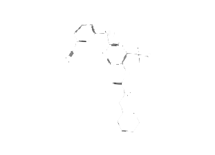 N#Cc1cccc(Nc2ncc(OC(=O)NCC3CCCCC3)c(C(F)(F)F)n2)c1